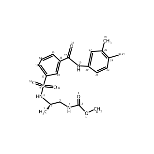 COC(=O)NC[C@@H](C)NS(=O)(=O)c1cccc(C(=O)Nc2ccc(F)c(C)c2)c1